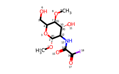 CO[C@@H]1OC(CO)[C@@H](OC)[C@H](O)C1NC(=O)C(=O)I